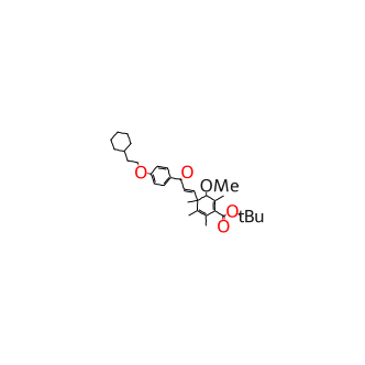 COC1C(C)=C(C(=O)OC(C)(C)C)C(C)=C(C)C1(C)C=CC(=O)c1ccc(OCCC2CCCCC2)cc1